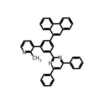 Cc1ncccc1-c1cc(-c2nc(-c3ccccc3)cc(-c3ccccc3)n2)cc(-c2cc3ccccc3c3ccccc23)c1